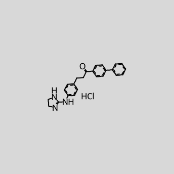 Cl.O=C(CCc1ccc(NC2=NCCN2)cc1)c1ccc(-c2ccccc2)cc1